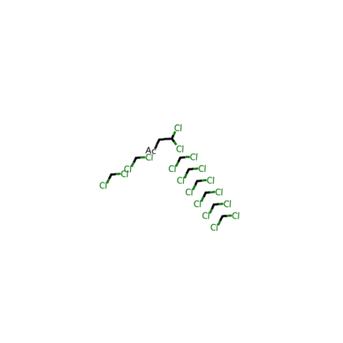 CC(=O)CC(Cl)Cl.ClCCl.ClCCl.ClCCl.ClCCl.ClCCl.ClCCl.ClCCl.ClCCl